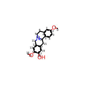 COc1ccc2c(c1)CCN1Cc3cc(OC)c(O)cc3CC21